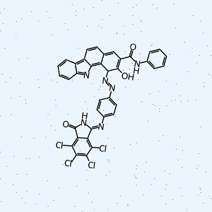 O=C(Nc1ccccc1)C1=C(O)C(N=Nc2ccc(N=C3NC(=O)c4c(Cl)c(Cl)c(Cl)c(Cl)c43)cc2)c2c3c(ccc2=C1)=c1ccccc1=N3